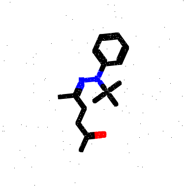 CC(=O)CCC(C)=NN(c1ccccc1)[Si](C)(C)C